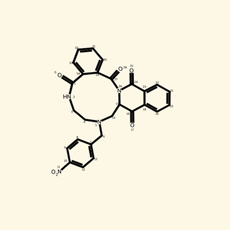 O=C1NCCN(Cc2ccc([N+](=O)[O-])cc2)CC2C(=O)c3ccccc3C(=O)N2C(=O)c2ccccc21